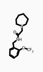 O=C(CN1CCCCCC1)NCc1ccccc1OC(F)(F)F